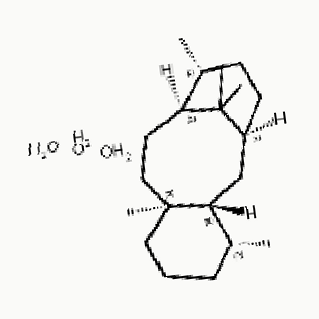 C[C@@H]1CCC[C@@]2(C)CC[C@H]3[C@H](C)CC[C@@H](C[C@H]12)C3(C)C.O.O.O